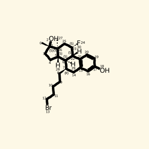 C[C@]1(O)CC[C@H]2[C@@H]3[C@H](CCCCCBr)Cc4cc(O)ccc4[C@H]3[C@@H](F)C[C@@]21C